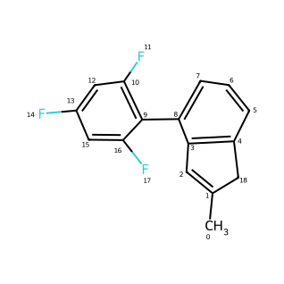 CC1=Cc2c(cccc2-c2c(F)cc(F)cc2F)C1